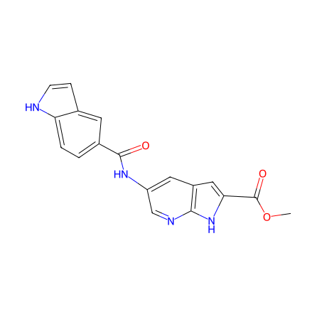 COC(=O)c1cc2cc(NC(=O)c3ccc4[nH]ccc4c3)cnc2[nH]1